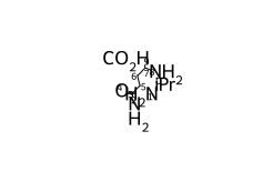 CC(C)N.NC(=O)CCC(N)C(=O)O